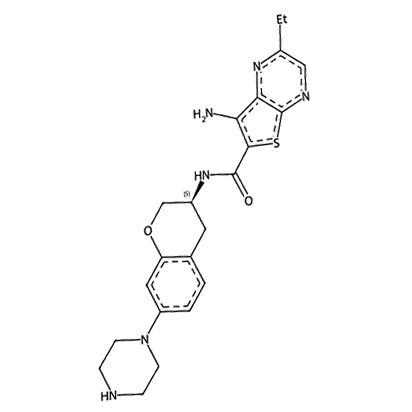 CCc1cnc2sc(C(=O)N[C@@H]3COc4cc(N5CCNCC5)ccc4C3)c(N)c2n1